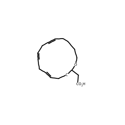 O=C(O)CC1CCC=CCC=CCC=CCCCCO1